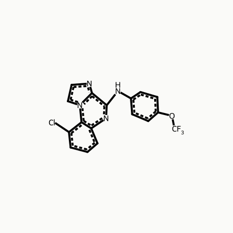 FC(F)(F)Oc1ccc(Nc2nc3cccc(Cl)c3n3ccnc23)cc1